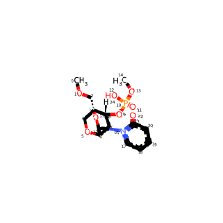 COC[C@]12COC(C[C@H]1OP(=O)(O)OC)C(n1ccccc1=O)O2